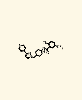 O=C(NC1CCC(Cn2ccc(-c3ccncc3)n2)CC1)c1cc(C(F)(F)F)ccc1Cl